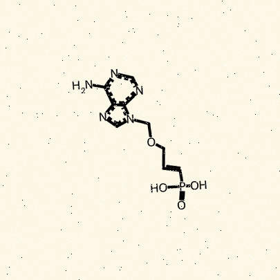 Nc1ncnc2c1ncn2COCC=CP(=O)(O)O